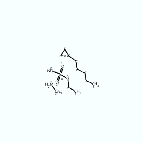 CCCCCC1CC1.CCOS(=O)(=O)O.CN